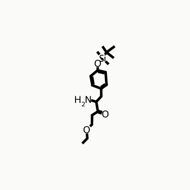 CCOCCC(=O)C(N)Cc1ccc(O[Si](C)(C)C(C)(C)C)cc1